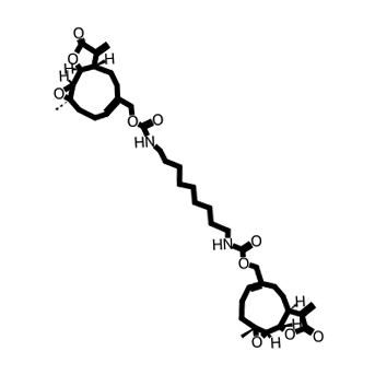 C=C1C(=O)O[C@H]2[C@H]1CC/C(COC(=O)NCCCCCCCCCNC(=O)OC/C1=C/CC[C@@]3(C)O[C@H]3[C@H]3OC(=O)C(=C)[C@@H]3CC1)=C\CC[C@@]1(C)O[C@@H]21